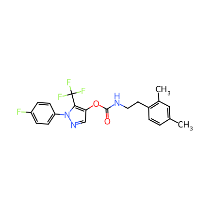 Cc1ccc(CCNC(=O)Oc2cnn(-c3ccc(F)cc3)c2C(F)(F)F)c(C)c1